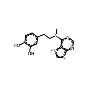 CN(CCc1ccc(O)c(O)c1)c1ncnc2nc[nH]c12